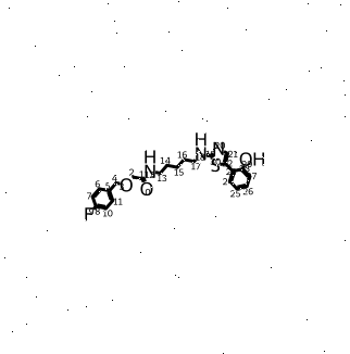 O=C(COCc1ccc(F)cc1)NCCCCCNc1ncc(-c2ccccc2O)s1